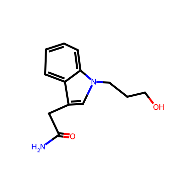 NC(=O)Cc1cn(CCCO)c2ccccc12